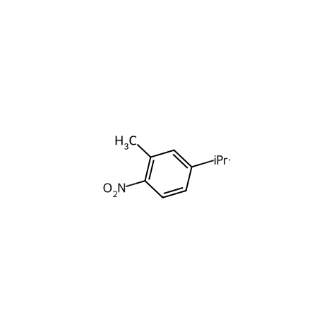 C[C](C)c1ccc([N+](=O)[O-])c(C)c1